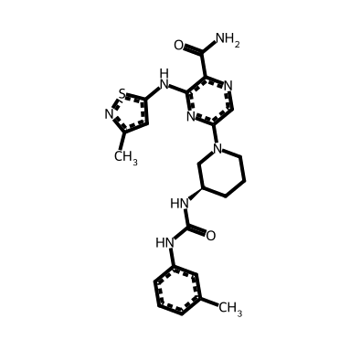 Cc1cccc(NC(=O)N[C@@H]2CCCN(c3cnc(C(N)=O)c(Nc4cc(C)ns4)n3)C2)c1